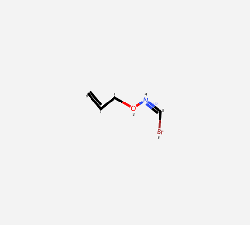 C=CCO/N=[C]\Br